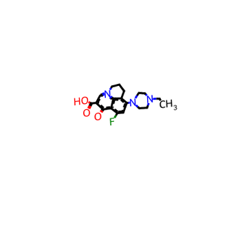 CCN1CCN(c2cc(F)c3c(=O)c(C(=O)O)cn4c3c2CCC4)CC1